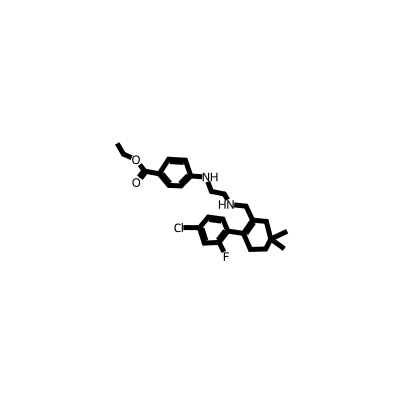 CCOC(=O)c1ccc(NCCNCC2=C(c3ccc(Cl)cc3F)CCC(C)(C)C2)cc1